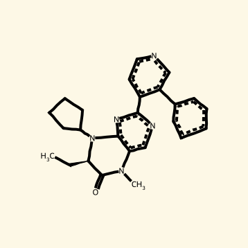 CC[C@@H]1C(=O)N(C)c2cnc(-c3ccncc3-c3ccccc3)nc2N1C1CCCC1